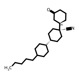 CCCCCC1CCC([C@H]2CC[C@](C#N)([C@@H]3CCCC(=O)C3)CC2)CC1